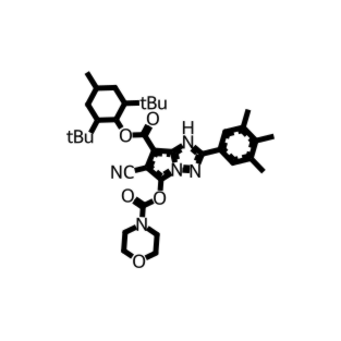 Cc1cc(-c2nn3c(OC(=O)N4CCOCC4)c(C#N)c(C(=O)OC4C(C(C)(C)C)CC(C)CC4C(C)(C)C)c3[nH]2)cc(C)c1C